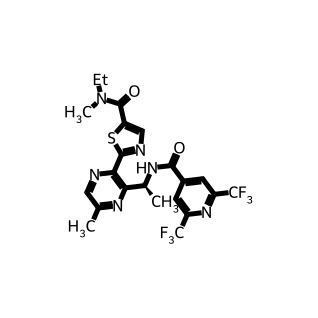 CCN(C)C(=O)c1cnc(-c2ncc(C)nc2[C@H](C)NC(=O)c2cc(C(F)(F)F)nc(C(F)(F)F)c2)s1